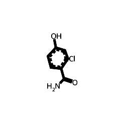 Cl.NC(=O)c1ccc(O)cc1